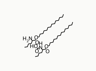 CCCCCCCCCCCCCCOC(=O)C(CCCC)NC(=O)O.CCCCCCCCCCCCCCOC(=O)C(N)CCCC